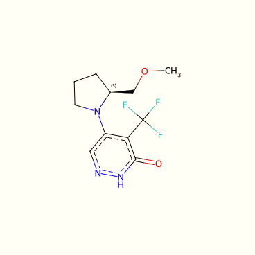 COC[C@@H]1CCCN1c1cn[nH]c(=O)c1C(F)(F)F